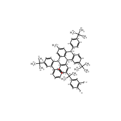 Cc1cc2c3c(c1)N(c1ccc(C(C)(C)C)cc1-c1ccccc1)c1ccc(C(C)(C)c4ccc(F)c(F)c4)cc1B3c1cc(C(C)(C)C)ccc1N2c1ccc(C(C)(C)C)cc1